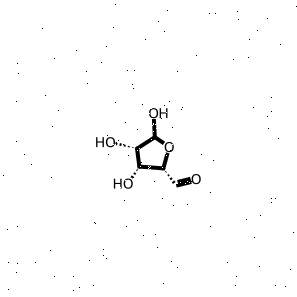 O=C[C@H]1OC(O)[C@@H](O)[C@H]1O